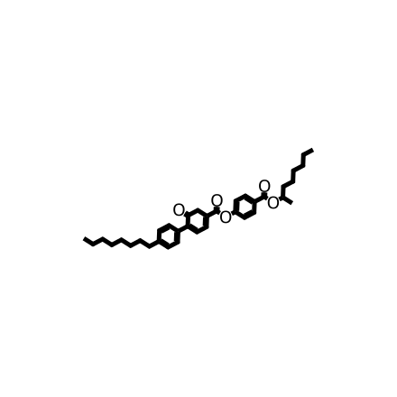 CCCCCCCCc1ccc(C2=CC=C(C(=O)Oc3ccc(C(=O)OC(C)CCCCCC)cc3)CC2=O)cc1